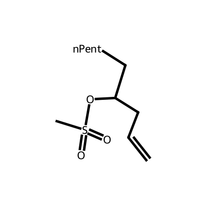 C=CCC(CCCCCC)OS(C)(=O)=O